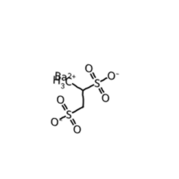 CC(CS(=O)(=O)[O-])S(=O)(=O)[O-].[Ba+2]